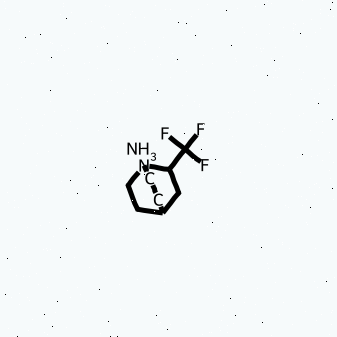 FC(F)(F)C1CC2CCN1CC2.N